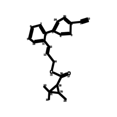 C#Cc1ccc(-c2ccccc2/C=C/COC(=O)C2C(C)C2(C)C)cc1